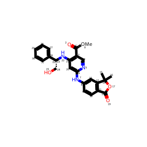 COC(=O)c1cnc(Nc2ccc3c(c2)C(C)(C)OC3=O)cc1N[C@H](CO)c1ccccc1